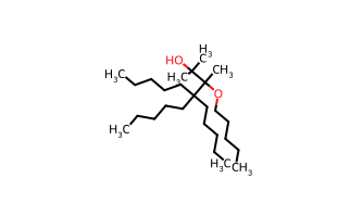 CCCCCOC(C)(C(C)(C)O)C(CCCCC)(CCCCC)CCCCC